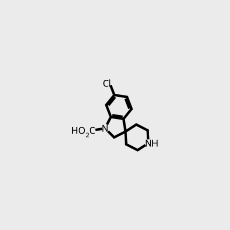 O=C(O)N1CC2(CCNCC2)c2ccc(Cl)cc21